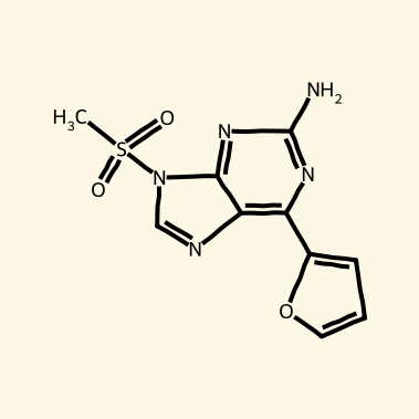 CS(=O)(=O)n1cnc2c(-c3ccco3)nc(N)nc21